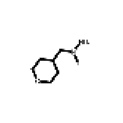 NN(I)CC1CCOCC1